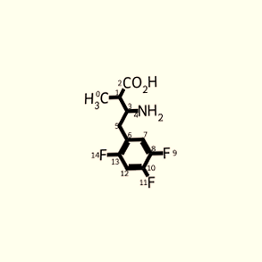 CC(C(=O)O)C(N)Cc1cc(F)c(F)cc1F